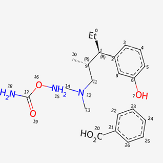 CC[C@@H](c1cccc(O)c1)[C@@H](C)CN(C)C.NOC(N)=O.O=C(O)c1ccccc1